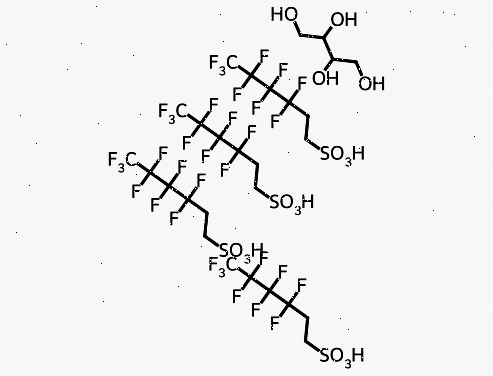 O=S(=O)(O)CCC(F)(F)C(F)(F)C(F)(F)C(F)(F)F.O=S(=O)(O)CCC(F)(F)C(F)(F)C(F)(F)C(F)(F)F.O=S(=O)(O)CCC(F)(F)C(F)(F)C(F)(F)C(F)(F)F.O=S(=O)(O)CCC(F)(F)C(F)(F)C(F)(F)C(F)(F)F.OCC(O)C(O)CO